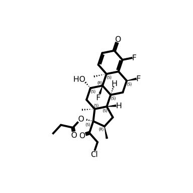 CCC(=O)O[C@@]1(C(=O)CCl)[C@H](C)C[C@H]2[C@@H]3C[C@H](F)C4=C(F)C(=O)C=C[C@]4(C)[C@@]3(F)[C@@H](O)C[C@@]21C